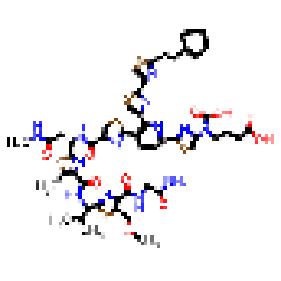 CNC(=O)C[C@H](NC(=O)c1csc(-c2ccc(-c3nc(N(CCCC(=O)O)C(=O)O)cs3)nc2-c2csc(-c3csc(CCc4ccccc4)n3)n2)n1)c1nc(C(=O)NC(c2nc(C(=O)NCC(N)=O)c(COC)s2)C(C)C)c(C)s1